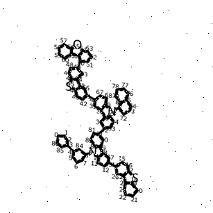 c1ccc(-c2cccc(-n3c4ccc(-c5ccc6sc7ccccc7c6c5)cc4c4cc(-c5ccc6c(c5)c5cc(-c7ccc8sc9ccc(-c%10cccc%11oc%12ccccc%12c%10%11)cc9c8c7)ccc5n6-c5cccc6ccccc56)ccc43)c2)cc1